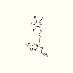 CCO[Si](CCCCOc1c(F)c(F)c(F)c(F)c1F)(OC)OCC